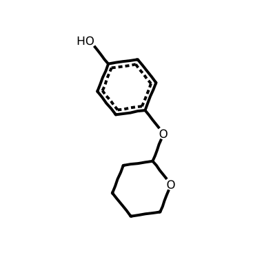 Oc1ccc(OC2CCCCO2)cc1